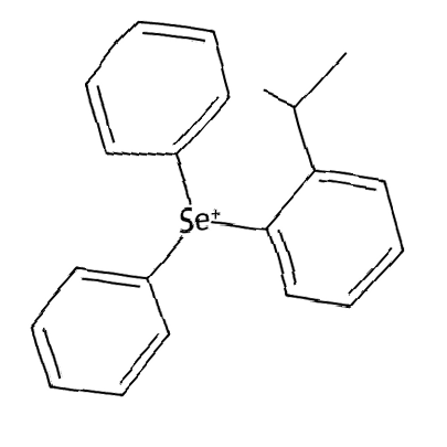 CC(C)c1ccccc1[Se+](c1ccccc1)c1ccccc1